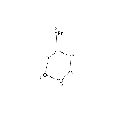 CCCC1CCOOC1